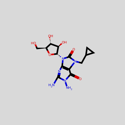 Nc1nc2c(c(=O)n1N)n(CC1CC1)c(=O)n2[C@@H]1O[C@@H](CO)[C@H](O)[C@H]1O